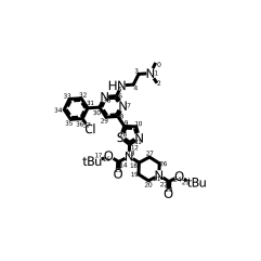 CN(C)CCNc1nc(-c2cnc(N(C(=O)OC(C)(C)C)C3CCN(C(=O)OC(C)(C)C)CC3)s2)cc(-c2ccccc2Cl)n1